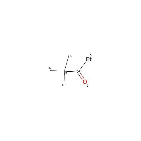 [CH2]CC(=O)C(C)(C)C